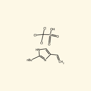 C=Cc1c[nH]c(CCCC)n1.O=S(=O)(O)C(Cl)(Cl)Cl